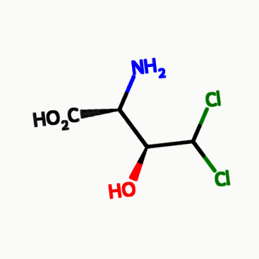 N[C@H](C(=O)O)[C@H](O)C(Cl)Cl